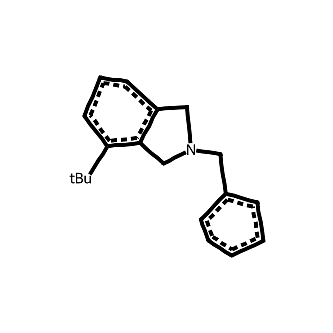 CC(C)(C)c1cccc2c1CN(Cc1ccccc1)C2